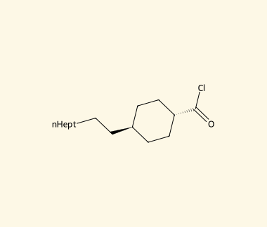 CCCCCCCCC[C@H]1CC[C@H](C(=O)Cl)CC1